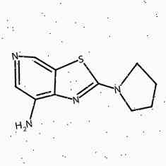 Nc1cncc2sc(N3CCCC3)nc12